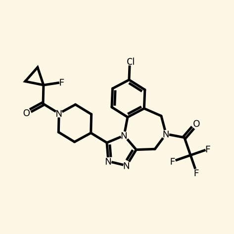 O=C(N1Cc2cc(Cl)ccc2-n2c(nnc2C2CCN(C(=O)C3(F)CC3)CC2)C1)C(F)(F)F